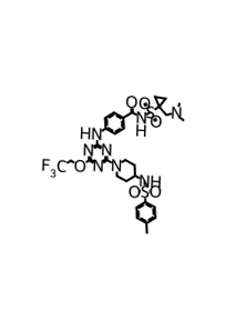 Cc1ccc(S(=O)(=O)NC2CCN(c3nc(Nc4ccc(C(=O)NS(=O)(=O)C5(CN(C)C)CC5)cc4)nc(OCC(F)(F)F)n3)CC2)cc1